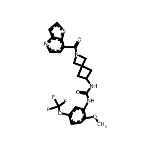 COc1ccc(OC(F)(F)F)cc1NC(=O)NC1CC2(C1)CN(C(=O)c1ccnc3ccsc13)C2